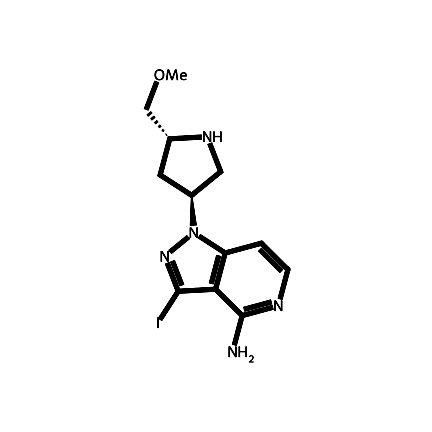 COC[C@H]1C[C@H](n2nc(I)c3c(N)nccc32)CN1